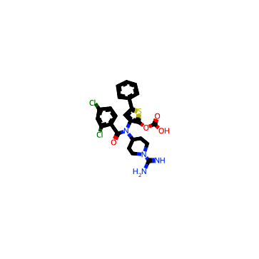 N=C(N)N1CCC(N(C(=O)c2ccc(Cl)cc2Cl)c2cc(-c3ccccc3)sc2OC(=O)O)CC1